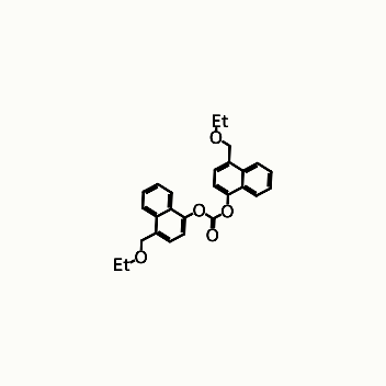 CCOCc1ccc(OC(=O)Oc2ccc(COCC)c3ccccc23)c2ccccc12